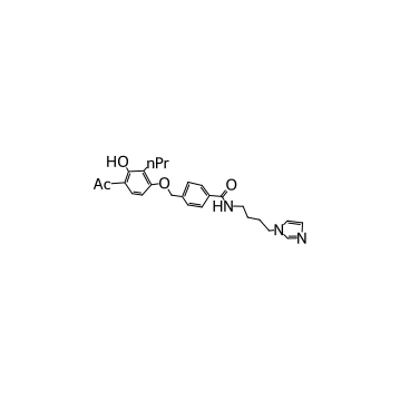 CCCc1c(OCc2ccc(C(=O)NCCCCn3ccnc3)cc2)ccc(C(C)=O)c1O